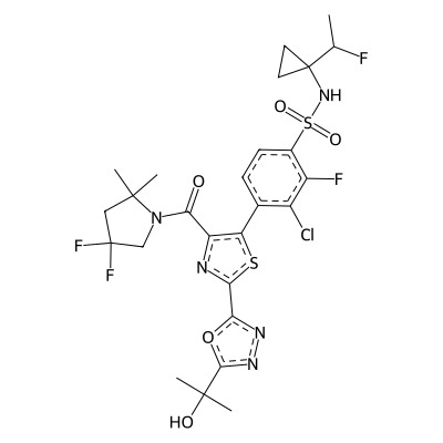 CC(F)C1(NS(=O)(=O)c2ccc(-c3sc(-c4nnc(C(C)(C)O)o4)nc3C(=O)N3CC(F)(F)CC3(C)C)c(Cl)c2F)CC1